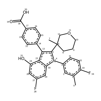 Cc1cc(-n2c(C3(C)CCCOC3)c(-c3ccc(C(=O)O)cc3)c3c(O)cc(F)cc32)ccc1F